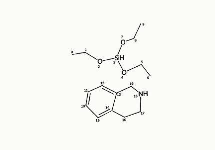 CCO[SiH](OCC)OCC.c1ccc2c(c1)CCNC2